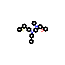 C1=Cc2oc3c(c2CC1)CCc1c-3c2c(n1-c1ccccc1)CC(N(C1=CCC(c3ccccc3)C=C1)C1C=CC(C3=c4sc5c(c4=CCC3)CCC=C5)=CC1)C=C2